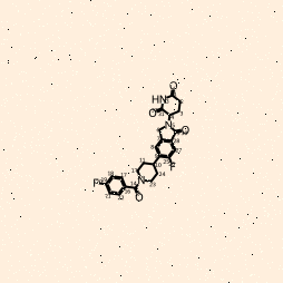 O=C1CCC(N2Cc3cc(C4CCN(C(=O)c5ccc(F)cc5)CC4)c(F)cc3C2=O)C(=O)N1